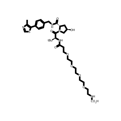 Cc1ncsc1-c1ccc(CNC(=O)[C@@H]2C[C@@H](O)CN2C(=O)[C@@H](NC(=O)CCOCCOCCOCCOCCNC(=O)O)C(C)(C)C)cc1